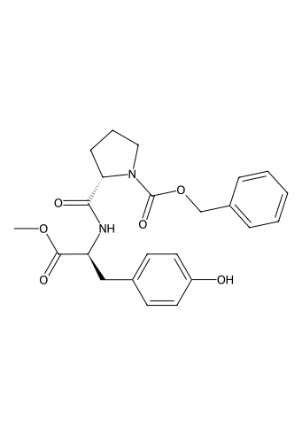 COC(=O)[C@H](Cc1ccc(O)cc1)NC(=O)[C@@H]1CCCN1C(=O)OCc1ccccc1